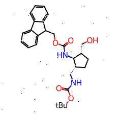 CC(C)(C)OC(=O)NC[C@H]1CC[C@@H](CO)[C@@H]1NC(=O)OCC1c2ccccc2-c2ccccc21